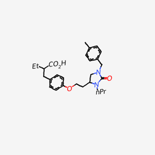 CCCN1C(=O)N(Cc2ccc(C)cc2)CC1CCOc1ccc(CC(CC)C(=O)O)cc1